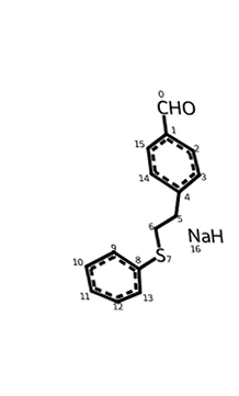 O=Cc1ccc(CCSc2ccccc2)cc1.[NaH]